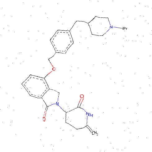 C=C1CCC(N2Cc3c(OCc4ccc(CC5CCN(C(C)C)CC5)cc4)cccc3C2=O)C(=O)N1